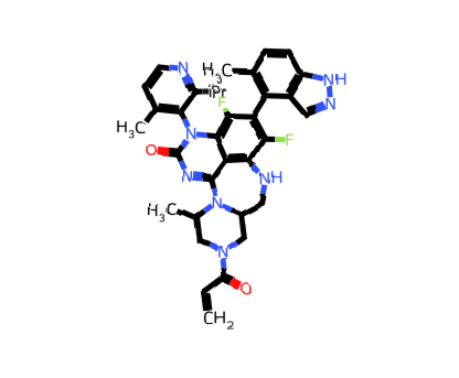 C=CC(=O)N1CC(C)N2c3nc(=O)n(-c4c(C)ccnc4C(C)C)c4c(F)c(-c5c(C)ccc6[nH]ncc56)c(F)c(c34)NCC2C1